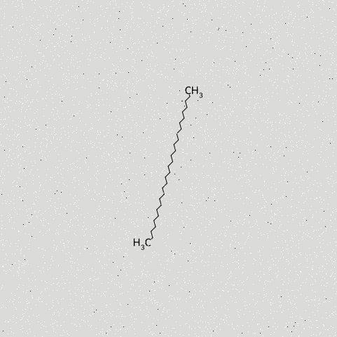 CC[CH]CCCCCCCCCCCCCCCCCCCCCCCCCC